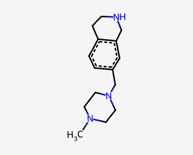 CN1CCN(Cc2ccc3c(c2)CNCC3)CC1